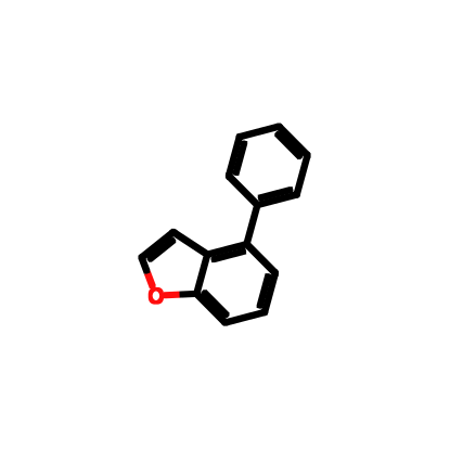 c1ccc(-c2cccc3occc23)cc1